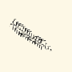 F[C](F)C(F)(F)C(F)(F)C(F)(F)C(F)(F)C(F)(F)C(F)(F)C(F)(F)C(F)(F)C(F)(F)C(F)(F)C(F)(F)C(F)(F)C(F)(F)C(F)(F)C(F)(F)F